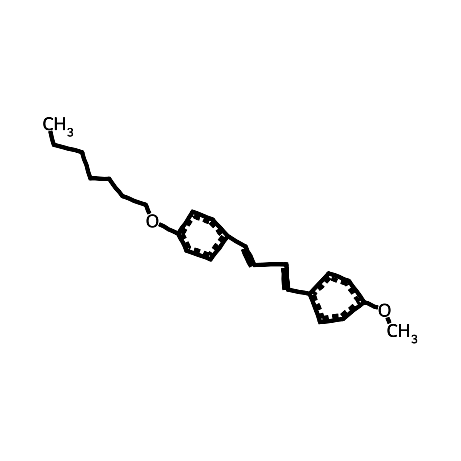 CCCCCCCOc1ccc(C=CC=Cc2ccc(OC)cc2)cc1